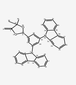 C=C1OB(c2cc(-n3c4ccccc4c4ccccc43)cc(-n3c4ccccc4c4ccccc43)c2)OC1(C)C